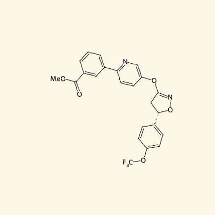 COC(=O)c1cccc(-c2ccc(OC3=NO[C@H](c4ccc(OC(F)(F)F)cc4)C3)cn2)c1